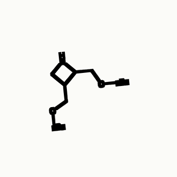 CCCCOCC1CNC1COCCCC